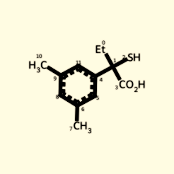 CCC(S)(C(=O)O)c1cc(C)cc(C)c1